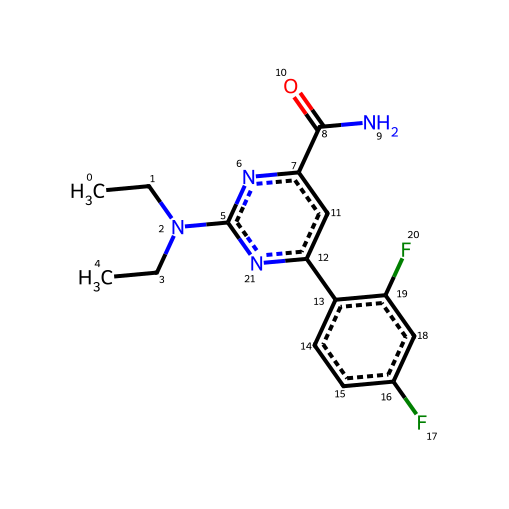 CCN(CC)c1nc(C(N)=O)cc(-c2ccc(F)cc2F)n1